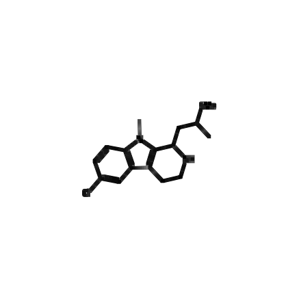 CSC(C)CC1NCCc2c1n(C)c1ccc(Cl)cc21